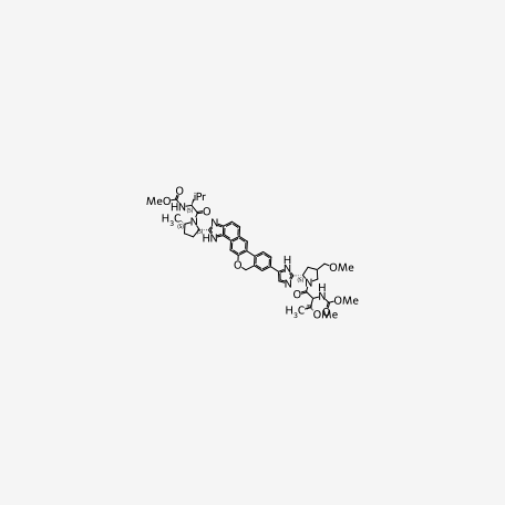 COCC1C[C@@H](c2ncc(-c3ccc4c(c3)COc3cc5c(ccc6nc([C@@H]7CC[C@H](C)N7C(=O)[C@@H](NC(=O)OC)C(C)C)[nH]c65)cc3-4)[nH]2)N(C(=O)C(NC(=O)OC)[C@@H](C)OC)C1